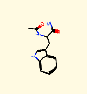 CC(=O)NC(Cc1c[nH]c2ccccc12)C(N)=O